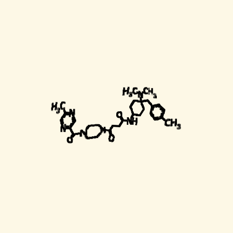 Cc1ccc(CC2(N(C)C)CCC(NC(=O)CCC(=O)N3CCN(C(=O)c4cnc(C)cn4)CC3)CC2)cc1